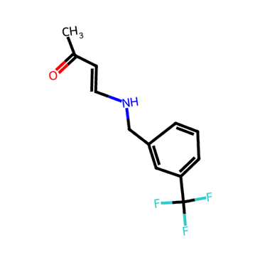 CC(=O)/C=C/NCc1cccc(C(F)(F)F)c1